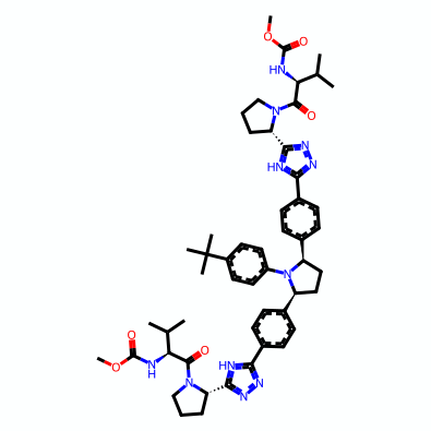 COC(=O)N[C@H](C(=O)N1CCC[C@H]1c1nnc(-c2ccc([C@H]3CC[C@@H](c4ccc(-c5nnc([C@@H]6CCCN6C(=O)[C@@H](NC(=O)OC)C(C)C)[nH]5)cc4)N3c3ccc(C(C)(C)C)cc3)cc2)[nH]1)C(C)C